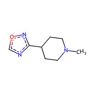 CN1CCC(c2ncon2)CC1